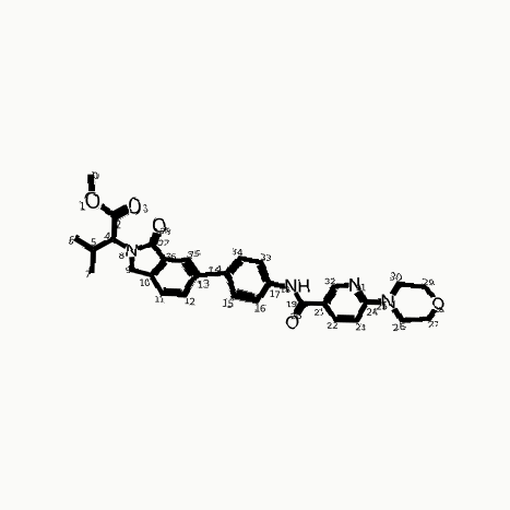 COC(=O)C(C(C)C)N1Cc2ccc(-c3ccc(NC(=O)c4ccc(N5CCOCC5)nc4)cc3)cc2C1=O